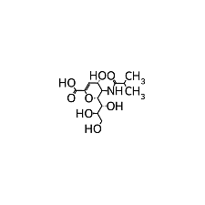 CC(C)C(=O)N[C@H]1[C@H]([C@H](O)[C@H](O)CO)OC(C(=O)O)=C[C@@H]1O